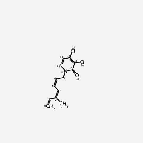 C=C/C(C)=C\C=C/Cn1ncc(Cl)c(Cl)c1=O